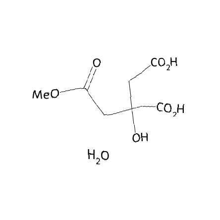 COC(=O)CC(O)(CC(=O)O)C(=O)O.O